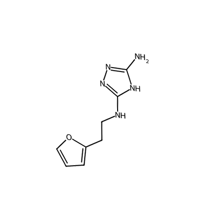 Nc1nnc(NCCc2ccco2)[nH]1